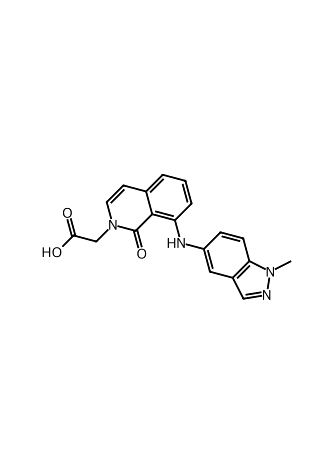 Cn1ncc2cc(Nc3cccc4ccn(CC(=O)O)c(=O)c34)ccc21